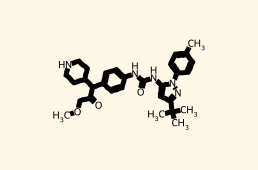 COCC(=O)C(c1ccc(NC(=O)Nc2cc(C(C)(C)C)nn2-c2ccc(C)cc2)cc1)C1CCNCC1